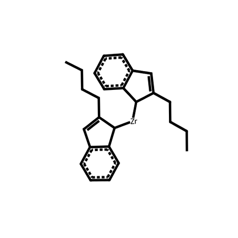 CCCCC1=Cc2ccccc2[CH]1[Zr][CH]1C(CCCC)=Cc2ccccc21